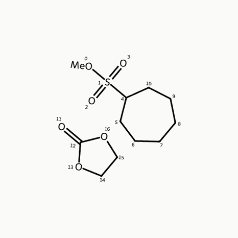 COS(=O)(=O)C1CCCCCC1.O=C1OCCO1